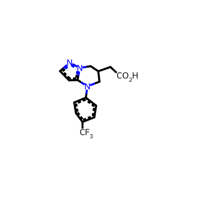 O=C(O)CC1CN(c2ccc(C(F)(F)F)cc2)c2ccnn2C1